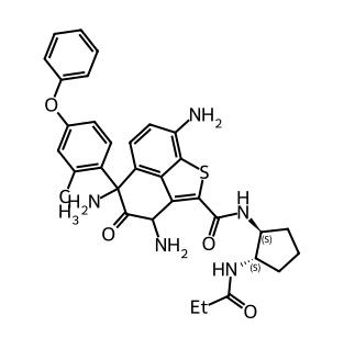 CCC(=O)N[C@H]1CCC[C@@H]1NC(=O)c1sc2c(N)ccc3c2c1C(N)C(=O)C3(N)c1ccc(Oc2ccccc2)cc1C